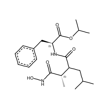 CC(C)CC(C(=O)N[C@@H](Cc1ccccc1)C(=O)OC(C)C)[C@H](C)C(=O)NO